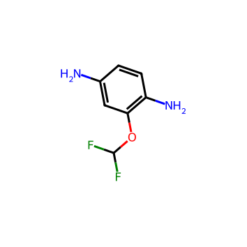 Nc1ccc(N)c(OC(F)F)c1